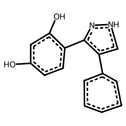 Oc1ccc(-c2n[nH]cc2-c2ccccc2)c(O)c1